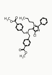 CCCCn1c(-c2ccccc2)nc(Cl)c1CN(Cc1ccc(C(=O)OC)cc1)Cc1ccc(C(=O)OC)cc1